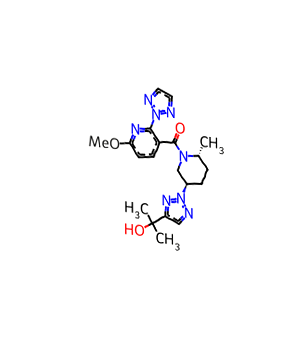 COc1ccc(C(=O)N2C[C@H](n3ncc(C(C)(C)O)n3)CC[C@H]2C)c(-n2nccn2)n1